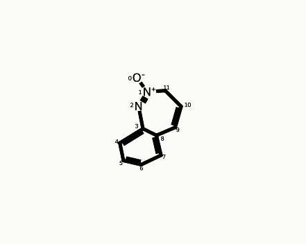 [O-][N+]1=Nc2ccccc2C=CC1